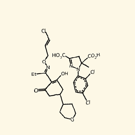 CC/C(=N\OC/C=C/Cl)C1=C(O)CC(C2CCOCC2)CC1=O.CC1(C(=O)O)CC(C(=O)O)=NN1c1ccc(Cl)cc1Cl